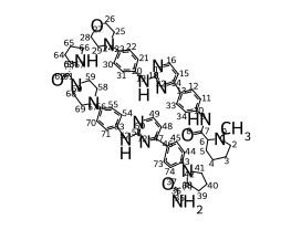 CN1CCCCC1C(=O)Nc1ccc(-c2ccnc(Nc3ccc(N4CCOCC4)cc3)n2)cc1.NC(=O)[C@H]1CCCN1c1ccc(-c2ccnc(Nc3ccc(N4CCN(C(=O)[C@@H]5CCCN5)CC4)cc3)n2)cc1